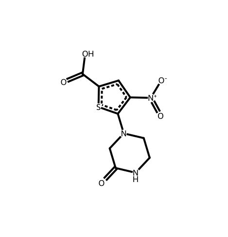 O=C1CN(c2sc(C(=O)O)cc2[N+](=O)[O-])CCN1